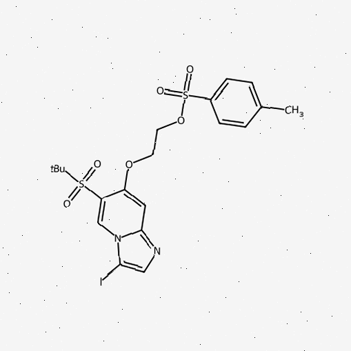 Cc1ccc(S(=O)(=O)OCCOc2cc3ncc(I)n3cc2S(=O)(=O)C(C)(C)C)cc1